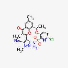 Cc1cc([C@@H](C)Oc2ccc(Cl)nc2S(N)(=O)=O)c2oc(-c3cnn(C)c3C#N)c(C)c(=O)c2c1